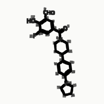 O=Cc1cc(C(=O)N2CCC(c3ccc(N4CCCC4)cc3)CC2)cc(F)c1O